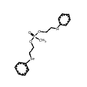 CP(=O)(OCC[Se]c1ccccc1)OCC[Se]c1ccccc1